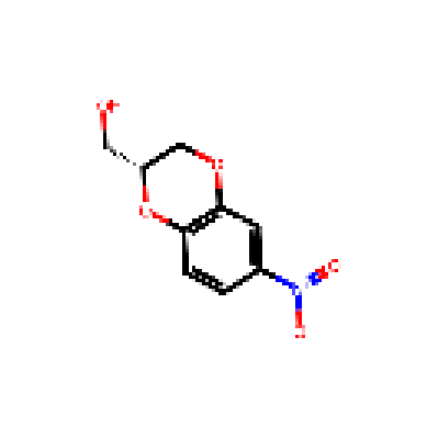 O=[N+]([O-])c1ccc2c(c1)OC[C@@H](CO)O2